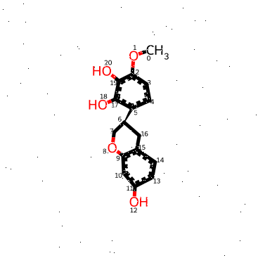 COc1ccc([C@@H]2COc3cc(O)ccc3C2)c(O)c1O